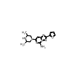 CC1CN(c2cc3nc(-c4ccco4)nn3c(N)n2)CC(C)N1